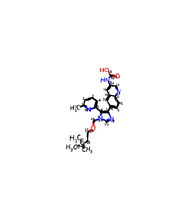 Cc1cccc(-c2c(-c3ccc4ncc(NC(=O)O)cc4c3)ncn2COCC[Si](C)(C)C)n1